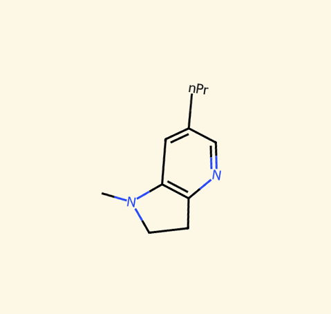 CCCc1cnc2c(c1)N(C)CC2